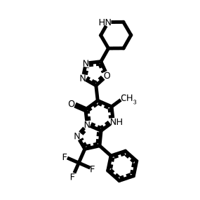 Cc1[nH]c2c(-c3ccccc3)c(C(F)(F)F)nn2c(=O)c1-c1nnc(C2CCCNC2)o1